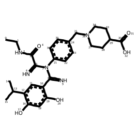 CCNC(=O)C(=N)N(C(=N)c1cc(C(C)C)c(O)cc1O)c1ccc(CN2CCC(C(=O)O)CC2)cc1